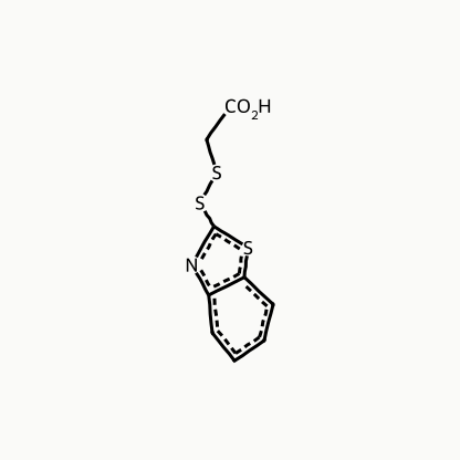 O=C(O)CSSc1nc2ccccc2s1